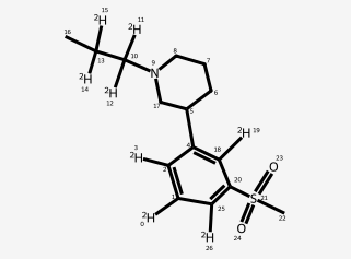 [2H]c1c([2H])c(C2CCCN(C([2H])([2H])C([2H])([2H])C)C2)c([2H])c(S(C)(=O)=O)c1[2H]